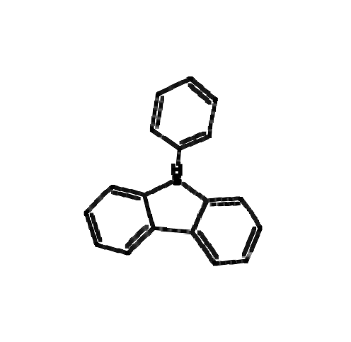 c1ccc([SH]2c3ccccc3-c3ccccc32)cc1